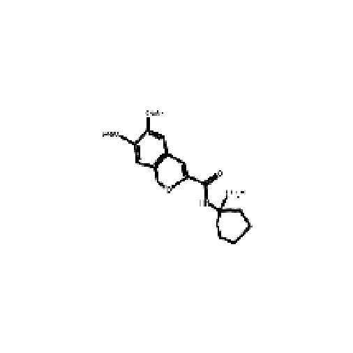 COc1cc2c(cc1OC)COC(C(=O)NC1(C(=O)O)CCCCC1)=C2